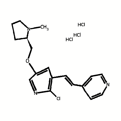 CN1CCC[C@@H]1COc1cnc(Cl)c(/C=C/c2ccncc2)c1.Cl.Cl.Cl